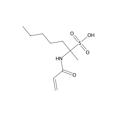 C=CC(=O)NC(C)(CCCCC)S(=O)(=O)O